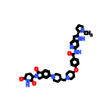 CN1CCC[C@@H]1c1cc2cnc(NC(=O)c3ccc(OC4CCN(CC5CCN(c6ccc7c(c6)CN(C6CCC(=O)NC6=O)C7=O)CC5)CC4)cc3)cc2[nH]1